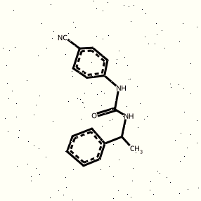 CC(NC(=O)Nc1ccc(C#N)cc1)c1ccccc1